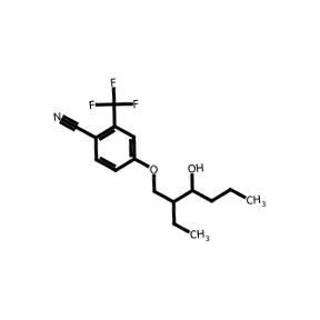 CCCC(O)C(CC)COc1ccc(C#N)c(C(F)(F)F)c1